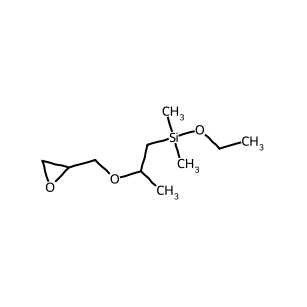 CCO[Si](C)(C)CC(C)OCC1CO1